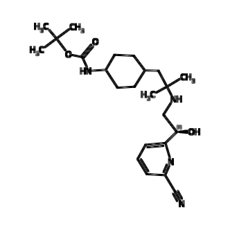 CC(C)(CC1CCC(NC(=O)OC(C)(C)C)CC1)NC[C@@H](O)c1cccc(C#N)n1